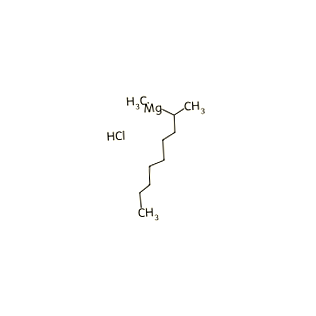 CCCCCCC[CH](C)[Mg][CH3].Cl